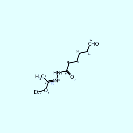 CCO/C(C)=N/NC(=O)CCCCC=O